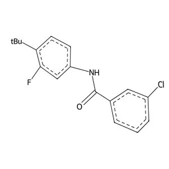 CC(C)(C)c1ccc(NC(=O)c2cccc(Cl)c2)cc1F